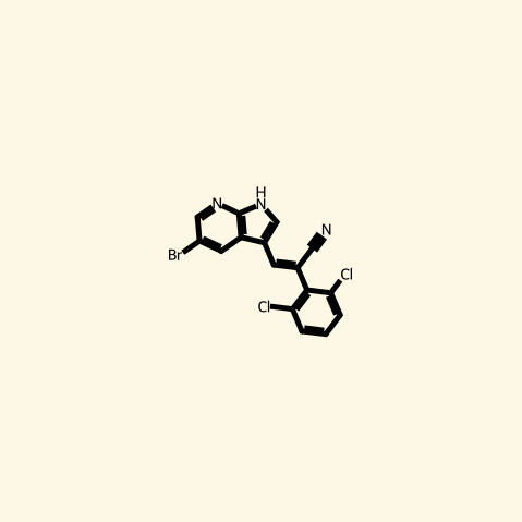 N#CC(=Cc1c[nH]c2ncc(Br)cc12)c1c(Cl)cccc1Cl